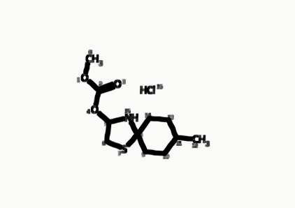 COC(=O)OC1CSC2(CCC(C)CC2)N1.Cl